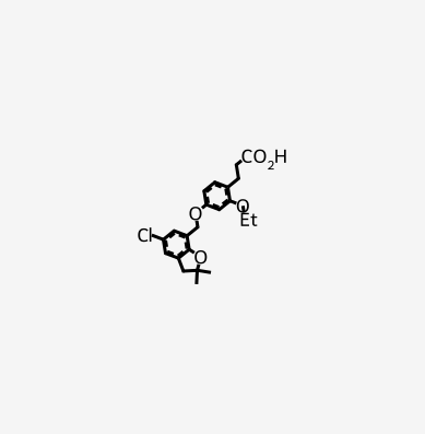 CCOc1cc(OCc2cc(Cl)cc3c2OC(C)(C)C3)ccc1CCC(=O)O